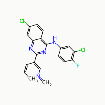 C=N/C=C(\C=C/C)c1nc(Nc2ccc(F)c(Cl)c2)c2ccc(Cl)cc2n1